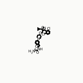 NSC(=O)Nc1cc2cc(N3CCC(OCc4c(-c5c(Cl)cccc5Cl)noc4C4CC4)CC3)ccc2o1